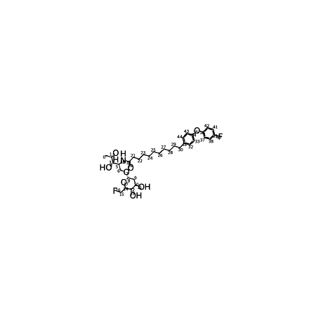 C[C@@H](O)[C@@H](O)[C@H](CO[C@@H]1CC(O)[C@H](O)C(CF)O1)NC(=O)CCCCCCCCCCc1ccc(Oc2ccc(F)cc2)cc1